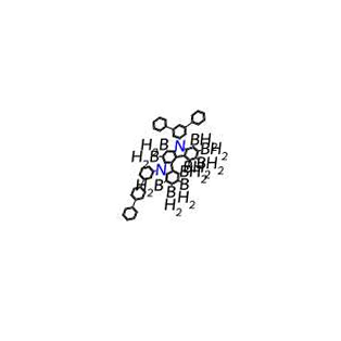 Bc1c(B)c(B)c2c(c1B)c1c3c4c(B)c(B)c(B)c(B)c4n(-c4cc(-c5ccccc5)cc(-c5ccccc5)c4)c3c(B)c(B)c1n2-c1cccc(-c2ccc(-c3ccccc3)cc2)c1